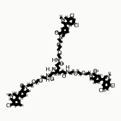 Cc1cc(Cl)c2c(c1)C(c1ccc3c(c1)C(=O)N(CCOCCOCCNC(=O)CCC(N)(CCC(=O)NCCOCCOCCN1Cc4ccc(C5CN(C)Cc6c(Cl)cc(Cl)cc65)cc4C1=O)CCC(=O)NCCOCCOCCN1Cc4ccc(C5CN(C)Cc6c(Cl)cc(Cl)cc65)cc4C1=O)C3)CN(C)C2